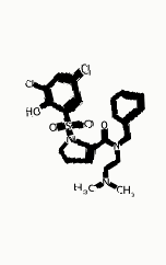 CN(C)CCN(Cc1ccccc1)C(=O)C1CCCN1S(=O)(=O)c1cc(Cl)cc(Cl)c1O